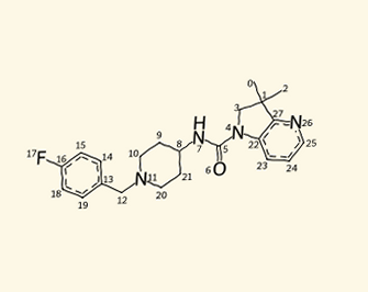 CC1(C)CN(C(=O)NC2CCN(Cc3ccc(F)cc3)CC2)c2cccnc21